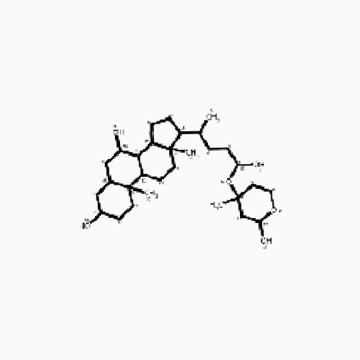 CC(CC[C@@H](O)OC1(C)CCOC(O)C1)C1CCC2C3C(O)CC4CC(O)CCC4(C)C3CCC12C